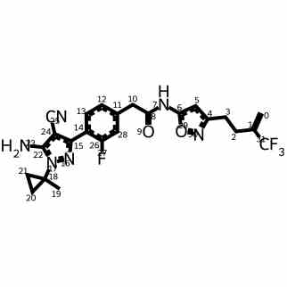 C=C(CCc1cc(NC(=O)Cc2ccc(-c3nn(C4(C)CC4)c(N)c3C#N)c(F)c2)on1)C(F)(F)F